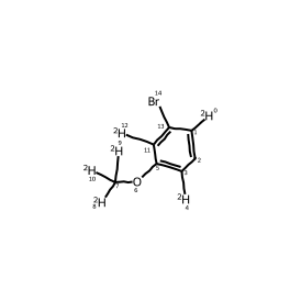 [2H]c1cc([2H])c(OC([2H])([2H])[2H])c([2H])c1Br